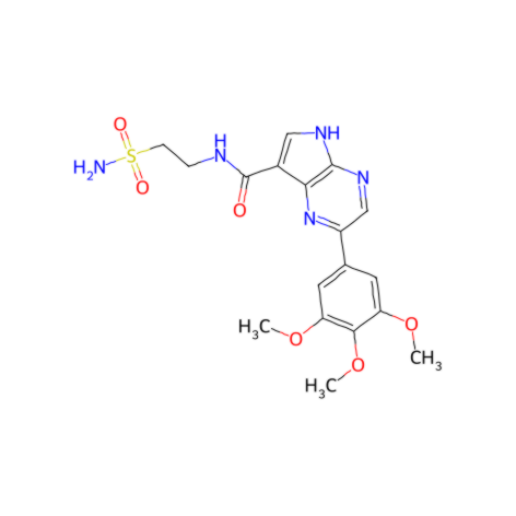 COc1cc(-c2cnc3[nH]cc(C(=O)NCCS(N)(=O)=O)c3n2)cc(OC)c1OC